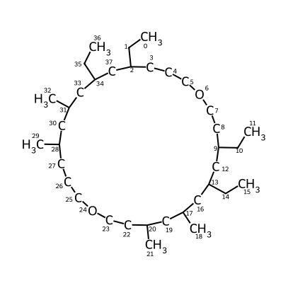 CCC1CCCOCCC(CC)CC(CC)CC(C)CC(C)CCOCCCC(C)CC(C)CC(CC)C1